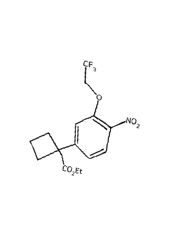 CCOC(=O)C1(c2ccc([N+](=O)[O-])c(OCC(F)(F)F)c2)CCC1